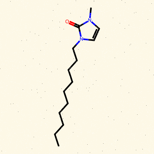 CCCCCCCCCCn1ccn(C)c1=O